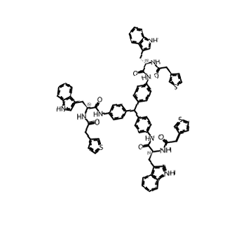 O=C(Cc1ccsc1)N[C@@H](Cc1c[nH]c2ccccc12)C(=O)Nc1ccc(C(c2ccc(NC(=O)[C@H](Cc3c[nH]c4ccccc34)NC(=O)Cc3ccsc3)cc2)c2ccc(NC(=O)[C@H](Cc3c[nH]c4ccccc34)NC(=O)Cc3ccsc3)cc2)cc1